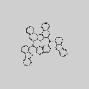 c1ccc(N(c2cccc3c2oc2ccccc23)c2cc3ccccc3c3c2oc2c(N(c4ccccc4)c4cccc5c4oc4ccccc45)cc4ccccc4c23)cc1